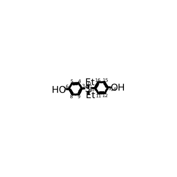 CC[Si](CC)(c1ccc(O)cc1)c1ccc(O)cc1